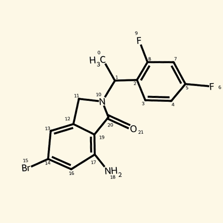 CC(c1ccc(F)cc1F)N1Cc2cc(Br)cc(N)c2C1=O